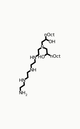 CCCCCCCCC(O)CN(CCNCCNCCNCCN)CC(O)CCCCCCCC